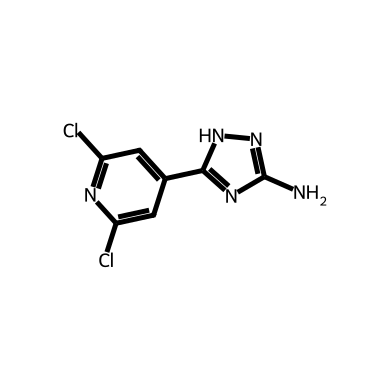 Nc1n[nH]c(-c2cc(Cl)nc(Cl)c2)n1